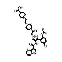 O=C(Nc1cn(CC(=O)N2CCN(CCN3CCC(C(=O)O)CC3)CC2)nc1-c1cc(Cl)ccc1OC(F)F)c1cnn2cccnc12